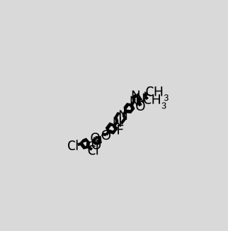 CCC(C)n1ncn(-c2ccc(N3CCN(c4ccc(OC[C@@H]5CO[C@@H](c6ccc(Cl)cc6Cl)O5)cc4F)CC3)cc2)c1=O